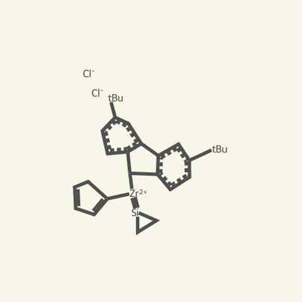 CC(C)(C)c1ccc2c(c1)-c1cc(C(C)(C)C)ccc1[CH]2[Zr+2]([C]1=CC=CC1)=[Si]1CC1.[Cl-].[Cl-]